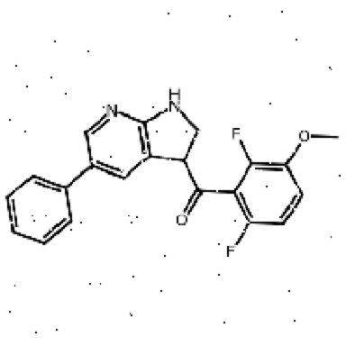 COc1ccc(F)c(C(=O)C2CNc3ncc(-c4ccccc4)cc32)c1F